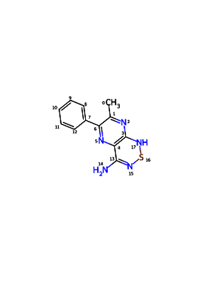 Cc1nc2c(nc1-c1ccccc1)C(N)=NSN2